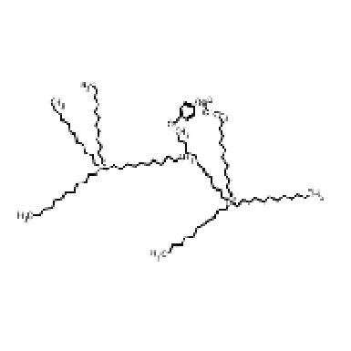 CCCCCCCCCCCC[N+](CCCCCCCCCCCC)(CCCCCCCCCCCC)CCCCCCCCCCCC.CCCCCCCCCCCC[N+](CCCCCCCCCCCC)(CCCCCCCCCCCC)CCCCCCCCCCCC.[O-]B([O-])Oc1ccc(Cl)cc1